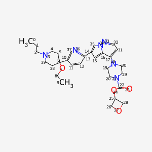 CCCN1CCC(OCC)(c2ccc(-c3cc4c(N5CCN(C(=O)OC6COC6)CC5)ccnn4c3)nc2)CC1